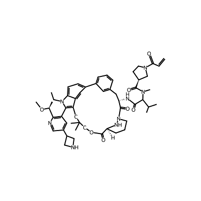 C=CC(=O)N1CC[C@H](C(=O)N(C)C(C(=O)N[C@H]2Cc3cccc(c3)-c3ccc4c(c3)c(c(-c3cc(C5CNC5)cnc3[C@H](C)OC)n4CC)CC(C)(C)COC(=O)[C@@H]3CCCN(N3)C2=O)C(C)C)C1